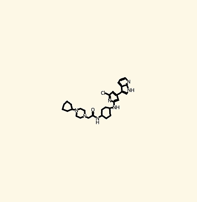 O=C(CN1CCN(C2CCCCC2)CC1)NC1CCC(Nc2cc(-c3c[nH]c4ncccc34)cc(Cl)n2)CC1